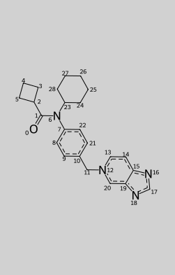 O=C(C1CCC1)N(c1ccc(Cn2ccc3ncnc-3c2)cc1)C1CCCCC1